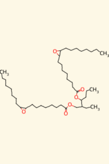 CCCCCCCCC1OC1CCCCCCCC(=O)OCC(CC)C(CCC)OC(=O)CCCCCCCC1OC1CCCCCCCC